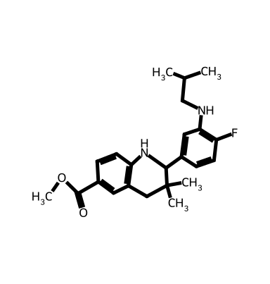 COC(=O)c1ccc2c(c1)CC(C)(C)C(c1ccc(F)c(NCC(C)C)c1)N2